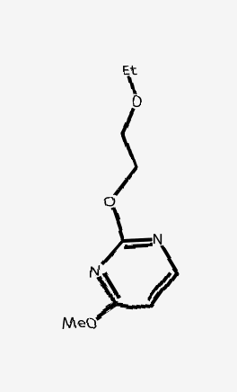 CCOCCOc1nccc(OC)n1